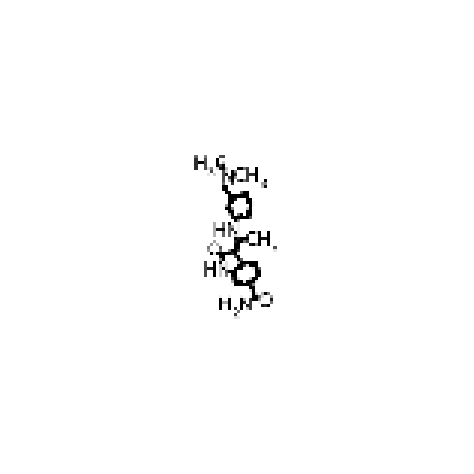 C/C(Nc1cccc(CN(C)C)c1)=C1/C(=O)Nc2cc(C(N)=O)ccc21